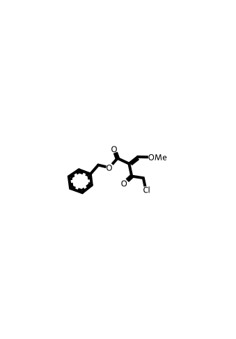 COC=C(C(=O)CCl)C(=O)OCc1ccccc1